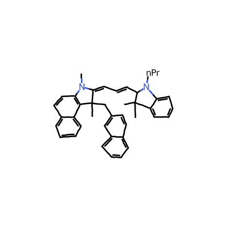 CCCN1c2ccccc2C(C)(C)C1/C=C/C=C1/N(C)c2ccc3ccccc3c2C1(C)Cc1ccc2ccccc2c1